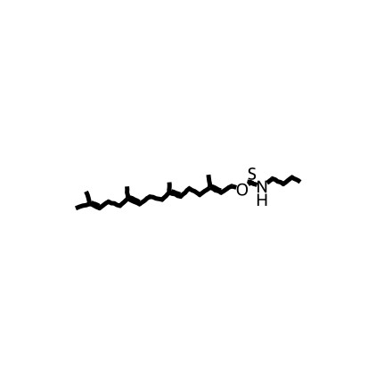 CCCCNC(=S)OC/C=C(\C)CC/C=C(\C)CC/C=C(\C)CCC=C(C)C